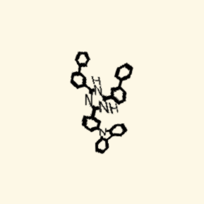 c1ccc(-c2cccc(C3=NC(c4cccc(-n5c6ccccc6c6ccccc65)c4)NC(c4cccc(-c5ccccc5)c4)N3)c2)cc1